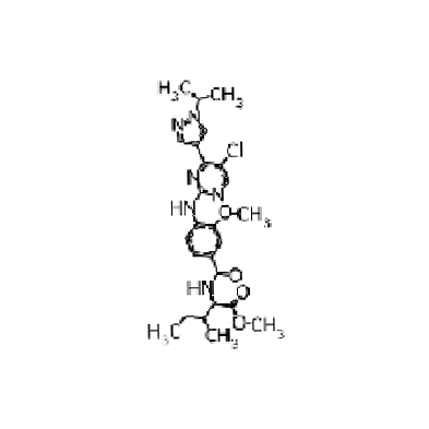 CCC(C)C(NC(=O)c1ccc(Nc2ncc(Cl)c(-c3cnn(C(C)C)c3)n2)c(OC)c1)C(=O)OC